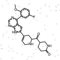 COc1ccc(F)cc1-c1ncnc2[nH]c(C3=CCNC(C(=O)C4CCC(=O)NC4)C3)cc12